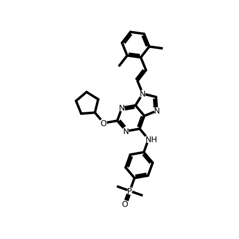 Cc1cccc(C)c1C=Cn1cnc2c(Nc3ccc(P(C)(C)=O)cc3)nc(OC3CCCC3)nc21